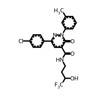 Cc1cccc(-n2nc(-c3ccc(Cl)cc3)cc(C(=O)NCCC(O)C(F)(F)F)c2=O)c1